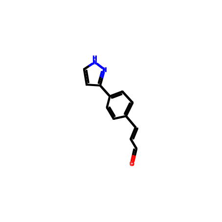 O=C/C=C/c1ccc(-c2cc[nH]n2)cc1